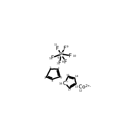 C1=CCC=C1.F[P-](F)(F)(F)(F)F.[Co+2].c1cc[cH-]c1